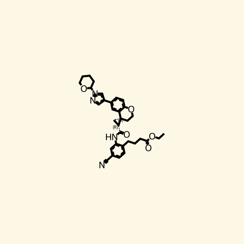 CCOC(=O)CCCc1ccc(C#N)cc1NC(=O)[C@@H]1C[C@]12CCOc1ccc(-c3cnn(C4CCCCO4)c3)cc12